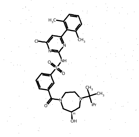 Cc1cccc(C)c1-c1cc(Cl)nc(NS(=O)(=O)c2cccc(C(=O)N3CCN(C(C)(C)C(C)C)C[C@@H](O)C3)c2)n1